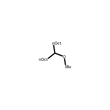 CCCCCCCCC(CCCCCCCC)OC(C)(C)C